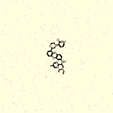 CCN(CC)CC(Nc1ccc2c(c1)Sc1cccc(C3CN(c4ccc[nH]c4=O)CCO3)c1S2)c1ncc(C)cn1